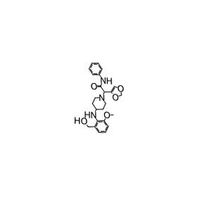 COc1cccc(CO)c1NC1CCN(C(C(=O)Nc2ccccc2)C2=COCO2)CC1